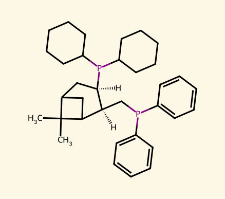 CC1(C)C2CC1[C@H](CP(c1ccccc1)c1ccccc1)[C@H](P(C1CCCCC1)C1CCCCC1)C2